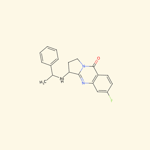 CC([AsH]C1CCn2c1nc1cc(F)ccc1c2=O)c1ccccc1